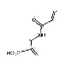 C=CC(=O)NCC(=C)C(=O)O